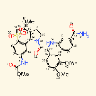 COC(=O)Nc1ccc(S(=O)(=O)C(C)C)c([C@H]2[C@@H](C(=O)OC)CCN2C(=O)[C@@H](Nc2cccc(C(N)=O)c2)c2ccc(OC)c(OC)c2)c1